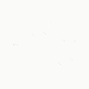 C=C(CCn1cnc2cnc3[nH]ccc3c21)NC(=O)N1CC(OC)C1